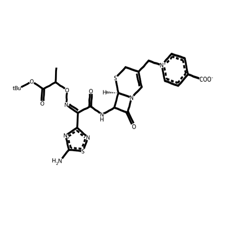 CC(O/N=C(\C(=O)NC1C(=O)N2C=C(C[n+]3ccc(C(=O)[O-])cc3)CS[C@H]12)c1nsc(N)n1)C(=O)OC(C)(C)C